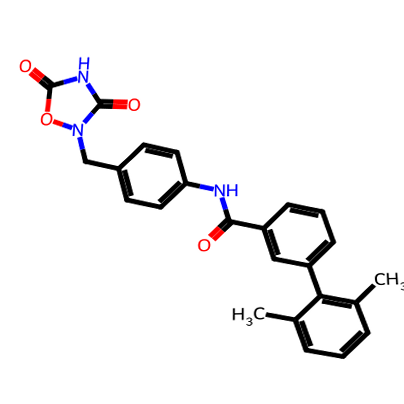 Cc1cccc(C)c1-c1cccc(C(=O)Nc2ccc(Cn3oc(=O)[nH]c3=O)cc2)c1